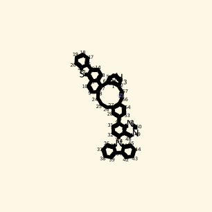 Cc1c2cccc1-c1c(ccc3c1ccc1c4ccccc4sc31)CCCc1cc(-c3ccc(-n4c5ccccc5c5ccccc54)c4cncnc34)ccc1/C=C\2